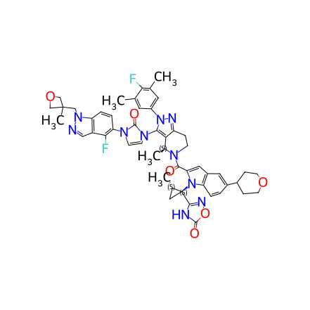 Cc1cc(-n2nc3c(c2-n2ccn(-c4ccc5c(cnn5CC5(C)COC5)c4F)c2=O)[C@H](C)N(C(=O)c2cc4cc(C5CCOCC5)ccc4n2[C@@]2(c4noc(=O)[nH]4)C[C@@H]2C)CC3)cc(C)c1F